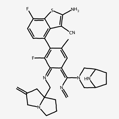 C=N/C(=C1/C=C(C)C(c2ccc(F)c3sc(N)c(C#N)c23)=C(F)/C1=N/CC12CCCN1CC(=C)C2)N1CC2CCC(C1)N2